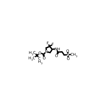 CC(C)(C)OC(=O)N1CC(NC(=O)CCS(C)(=O)=O)C(F)(F)C1